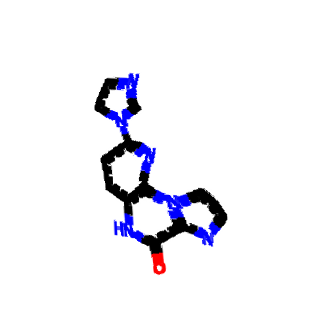 O=c1[nH]c2ccc(-n3ccnc3)nc2n2ccnc12